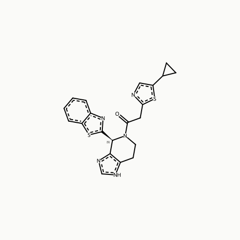 O=C(Cc1ncc(C2CC2)s1)N1CCc2[nH]cnc2[C@H]1c1nc2ccccc2s1